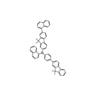 CC1(C)c2ccccc2-c2ccc(-c3ccc(N(c4ccc5c(c4)C(C)(C)c4cc(-c6cccc7ccccc67)ccc4-5)c4cccc5ccccc45)cc3)cc21